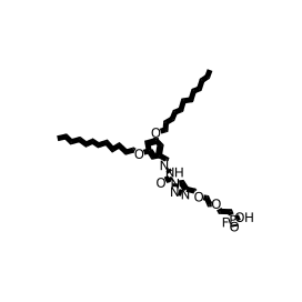 CCCCCCCCCCCCOc1cc(/C=N/NC(=O)n2cc(COCCOCCP(=O)(O)F)nn2)cc(OCCCCCCCCCCCC)c1